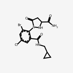 NC(=O)C1CC(=O)N(c2c(Br)cc(Cl)cc2C(=O)NCC2CC2)N1